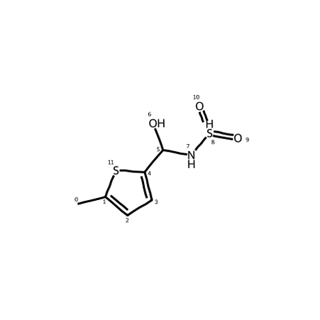 Cc1ccc(C(O)N[SH](=O)=O)s1